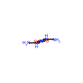 NCCCCCC(=O)Nc1ccc(N=Nc2ccc(NC(=O)CCCCCN)cc2)cc1